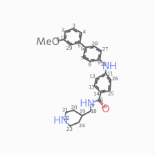 COc1cccc(-c2ccc(Nc3ccc(C(=O)NCC4CCNCC4)cc3)cc2)c1